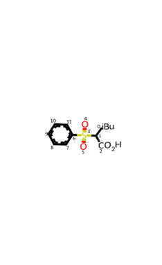 CCC(C)C(C(=O)O)S(=O)(=O)c1ccccc1